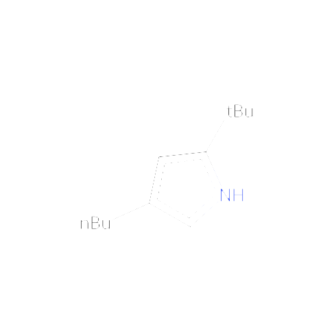 CCCCc1c[nH]c(C(C)(C)C)c1